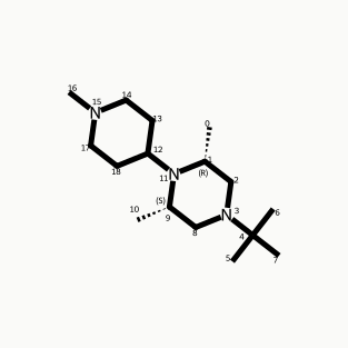 C[C@@H]1CN(C(C)(C)C)C[C@H](C)N1C1CCN(C)CC1